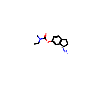 CCN(C)C(=O)Oc1ccc2c(c1)[C@H](N)CC2